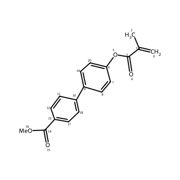 C=C(C)C(=O)Oc1ccc(-c2ccc(C(=O)OC)cc2)cc1